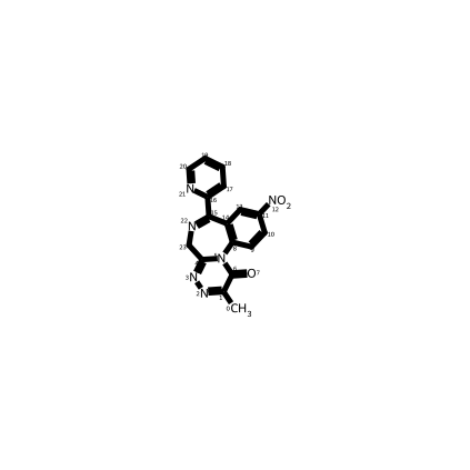 Cc1nnc2n(c1=O)-c1ccc([N+](=O)[O-])cc1C(c1ccccn1)=NC2